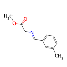 COC(=O)CN=Cc1cccc(C)c1